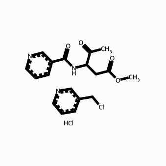 COC(=O)CC(NC(=O)c1cccnc1)C(C)=O.Cl.ClCc1cccnc1